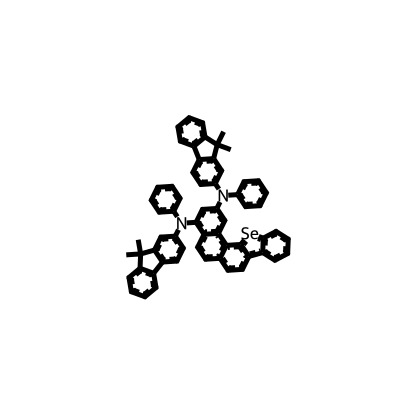 CC1(C)c2ccccc2-c2ccc(N(c3ccccc3)c3cc(N(c4ccccc4)c4ccc5c(c4)C(C)(C)c4ccccc4-5)c4ccc5ccc6c7ccccc7[se]c6c5c4c3)cc21